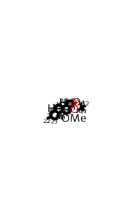 CO[C@H]1C[C@@]2(C)[C@@H](CCC23OCC(C)(C)CO3)[C@@H]2CC[C@H]3CC(C)CC[C@]3(C)[C@H]21